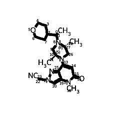 CC(C1CCOCC1)N1C[C@H](C)N(c2cc(=O)n(C)c3cn(CC#N)nc23)C[C@H]1C